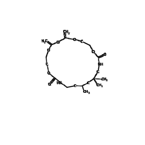 C=C1OCCOC(=O)NCCC(C)CC(C)(C)CNC(=O)OCCOC(=C)O1